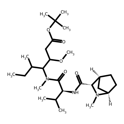 CCC(C)C(C(CC(=O)OC(C)(C)C)OC)N(C)C(=O)[C@@H](NC(=O)[C@@H]1[C@H]2CC[C@H](C2)N1C)C(C)C